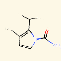 CCCCC(CC)c1c(C#N)ccn1C(N)=O